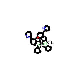 CC1=Cc2c(-c3ccccn3)cccc2[CH]1[Zr]([Cl])([Cl])([CH]1C(C)=Cc2c(-c3ccccn3)cccc21)[SiH](c1ccccc1)c1ccccc1